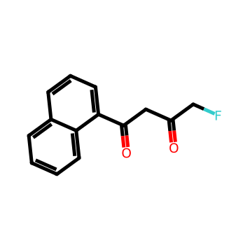 O=C(CF)CC(=O)c1cccc2ccccc12